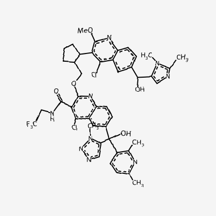 COc1nc2ccc(C(O)c3cnc(C)n3C)cc2c(Cl)c1C1CCCC1COc1nc2ccc(C(O)(c3ccc(C)nc3C)c3cnnn3C)cc2c(Cl)c1C(=O)NCC(F)(F)F